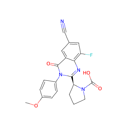 COc1ccc(-n2c([C@@H]3CCCN3C(=O)O)nc3c(F)cc(C#N)cc3c2=O)cc1